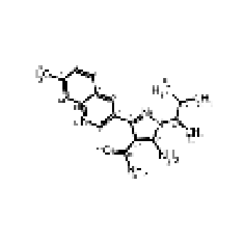 Cc1ccc2cc(-c3nn(C(C)C(C)C)c(N)c3C(N)=O)cnc2c1